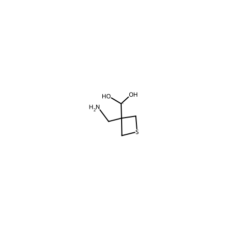 NCC1([C](O)O)CSC1